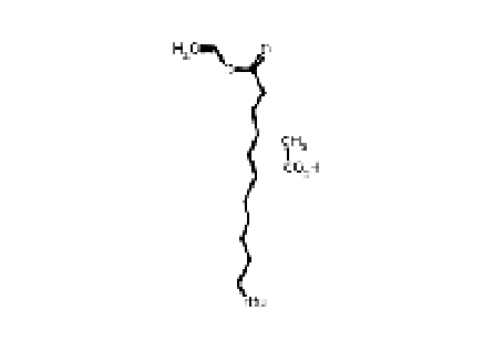 C=COC(=O)CCCCCCCCCCC(C)(C)C.CC(=O)O